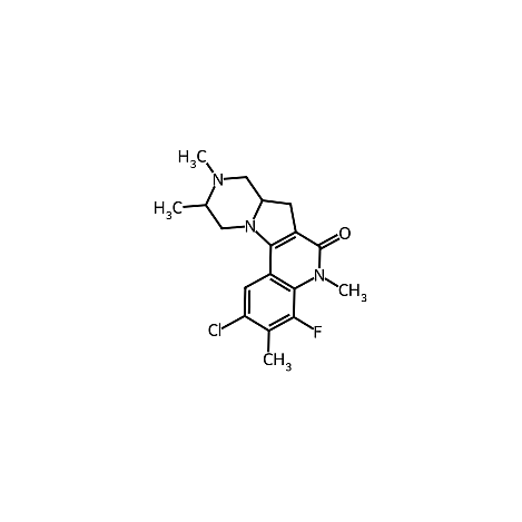 Cc1c(Cl)cc2c3c(c(=O)n(C)c2c1F)CC1CN(C)C(C)CN31